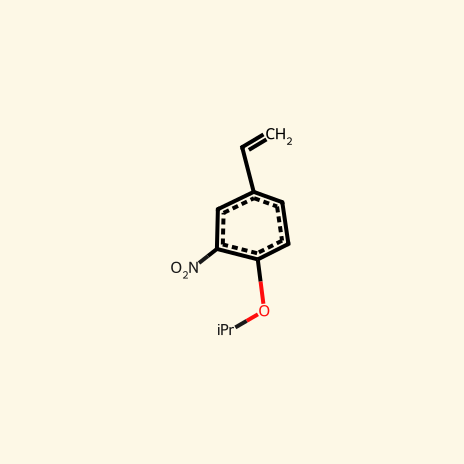 C=Cc1ccc(OC(C)C)c([N+](=O)[O-])c1